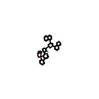 c1ccc2c(c1)-c1ccc3sc4c(-c5cc(-c6cccc7ccccc67)cc(-c6cccc7ccccc67)c5)cccc4c3c1C21C2CC3CC(C2)CC1C3